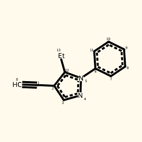 C#Cc1cnn(-c2ccccc2)c1CC